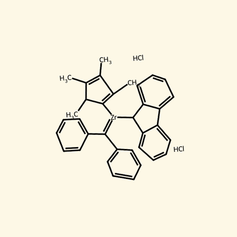 CC1=C(C)C(C)[C]([Zr](=[C](c2ccccc2)c2ccccc2)[CH]2c3ccccc3-c3ccccc32)=C1C.Cl.Cl